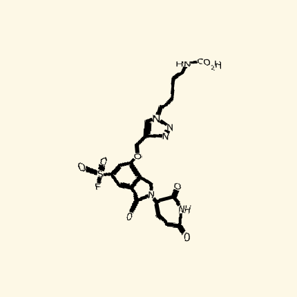 O=C(O)NCCCCn1cc(COc2cc(S(=O)(=O)F)cc3c2CN(C2CCC(=O)NC2=O)C3=O)nn1